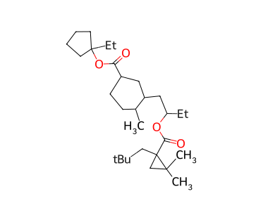 CCC(CC1CC(C(=O)OC2(CC)CCCC2)CCC1C)OC(=O)C1(CC(C)(C)C)CC1(C)C